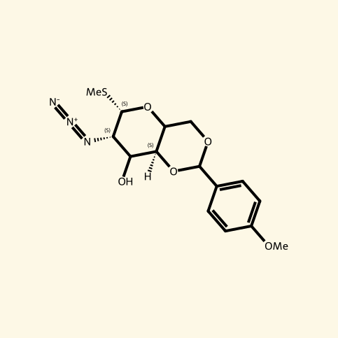 COc1ccc(C2OCC3O[C@@H](SC)[C@@H](N=[N+]=[N-])C(O)[C@@H]3O2)cc1